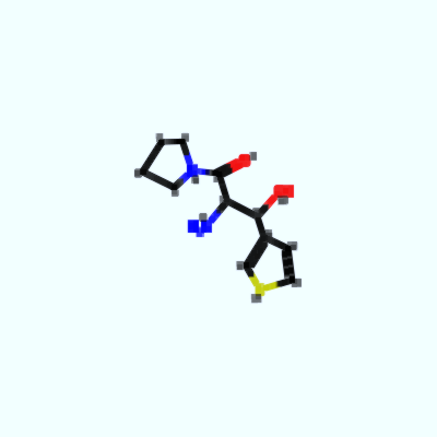 NC(C(=O)N1CCCC1)C(O)c1ccsc1